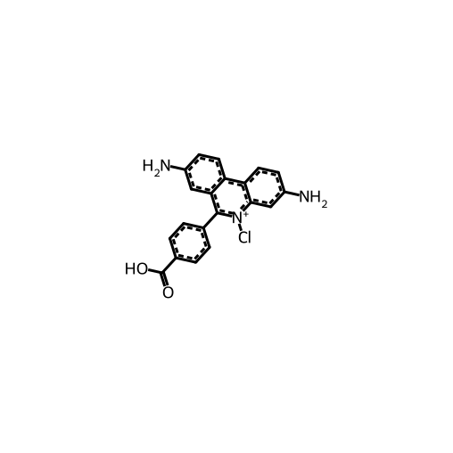 Nc1ccc2c(c1)c(-c1ccc(C(=O)O)cc1)[n+](Cl)c1cc(N)ccc21